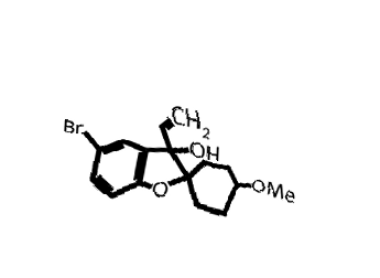 C=CC1(O)c2cc(Br)ccc2OC12CCC(OC)CC2